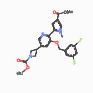 COC(=O)c1cc(-c2ncc(C3CN(C(=O)OC(C)(C)C)C3)cc2OCc2cc(F)cc(F)c2)n(C)c1